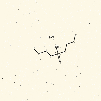 CCCCP(=O)(O)CCCC.Cl